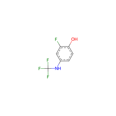 Oc1ccc(NC(F)(F)F)cc1F